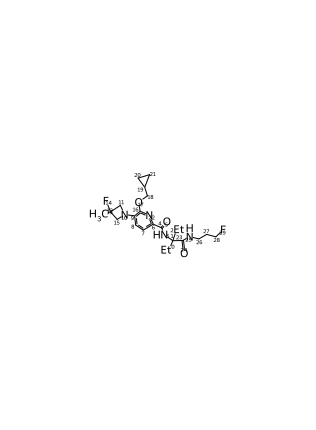 CCC(CC)(NC(=O)c1ccc(N2CC(C)(F)C2)c(OCC2CC2)n1)C(=O)NCCCF